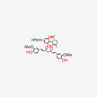 C=C(C)[C@@H]1CCC(C)=C[C@H]1c1c(O)cc(CCCCC)cc1O.COc1cc(/C=C/C(=O)CC(=O)/C=C/c2ccc(O)c(OC)c2)ccc1O